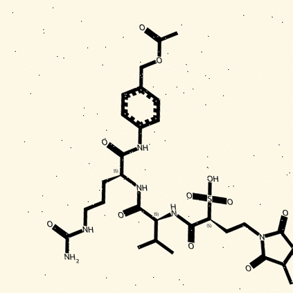 CC(=O)OCc1ccc(NC(=O)[C@H](CCCNC(N)=O)NC(=O)[C@@H](NC(=O)[C@H](CCN2C(=O)CC(C)C2=O)S(=O)(=O)O)C(C)C)cc1